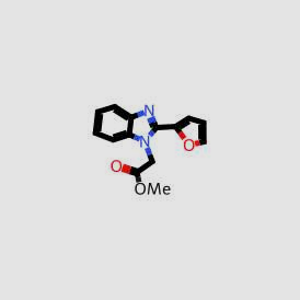 COC(=O)Cn1c(-c2ccco2)nc2ccccc21